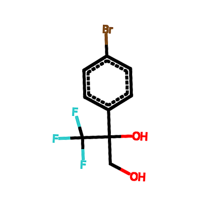 OCC(O)(c1ccc(Br)cc1)C(F)(F)F